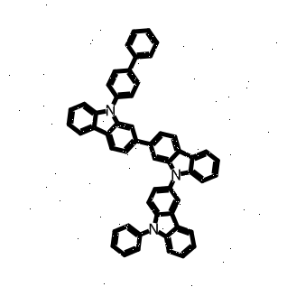 c1ccc(-c2ccc(-n3c4ccccc4c4ccc(-c5ccc6c7ccccc7n(-c7ccc8c(c7)c7ccccc7n8-c7ccccc7)c6c5)cc43)cc2)cc1